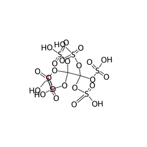 O=S(=O)(O)OC(OS(=O)(=O)O)(OS(=O)(=O)O)C(OS(=O)(=O)O)(OS(=O)(=O)O)OS(=O)(=O)O